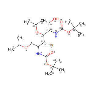 CC(C)OCC(NC(=O)OC(C)(C)C)[C@@H](Br)C(OC(C)C)[C@H](CO)NC(=O)OC(C)(C)C